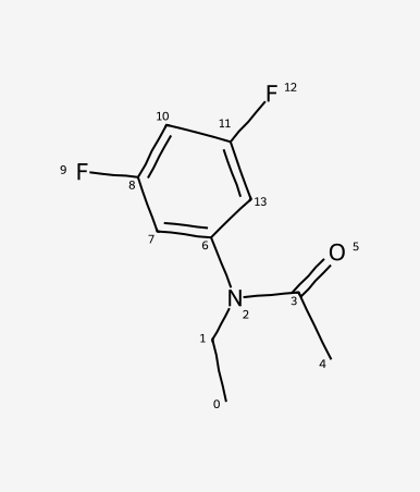 CCN(C(C)=O)c1cc(F)cc(F)c1